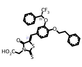 O=C(O)CN1C(=O)/C(=C/c2ccc(OCCc3ccccc3)c(O[C@@H](c3ccccc3)C(F)(F)F)c2)SC1=S